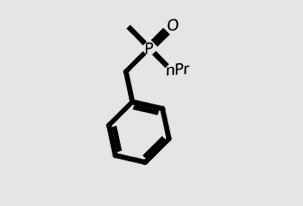 CCCP(C)(=O)Cc1ccccc1